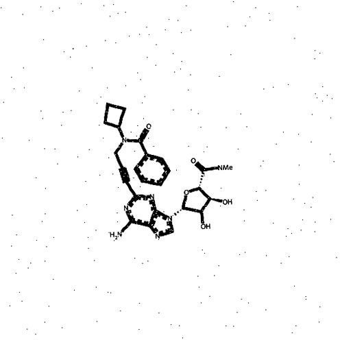 CNC(=O)[C@H]1O[C@@H](n2cnc3c(N)nc(C#CCN(C(=O)c4ccccc4)C4CCC4)nc32)C(O)[C@@H]1O